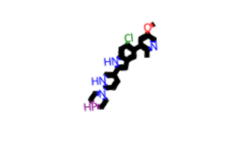 COc1cnc(C)c(-c2cc3cc(C4=CNC(N5CCPCC5)C=C4)[nH]c3cc2Cl)c1